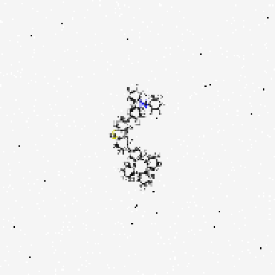 c1ccc(-n2c3ccccc3c3cc(-c4ccc5sc6ccc(-c7ccc8c(c7)-c7ccccc7-c7ccccc7-c7ccccc7-8)cc6c5c4)ccc32)cc1